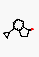 O=C1CCc2c1cccc2C1CC1